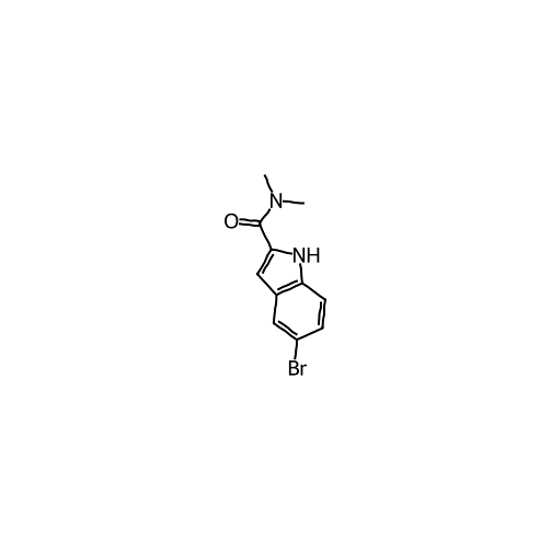 CN(C)C(=O)c1cc2cc(Br)ccc2[nH]1